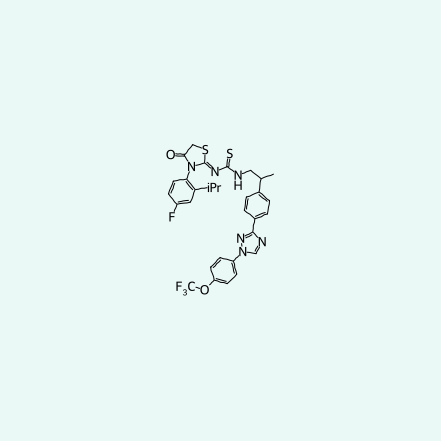 CC(C)c1cc(F)ccc1N1C(=O)CS/C1=N\C(=S)NCC(C)c1ccc(-c2ncn(-c3ccc(OC(F)(F)F)cc3)n2)cc1